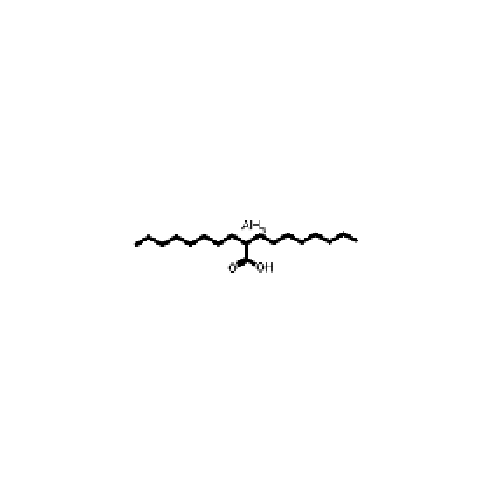 CCCCCCCCC(CCCCCCCC)C(=O)O.[AlH3]